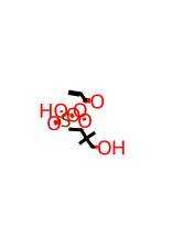 C=CC(=O)OOC(CS(=O)(=O)O)C(C)(C)CO